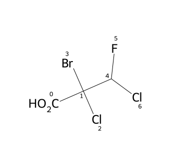 O=C(O)C(Cl)(Br)C(F)Cl